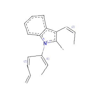 C=C/C=C\C(=C/C)n1c(C)c(/C=C\C)c2ccccc21